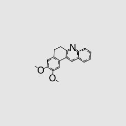 COc1cc2c(cc1OC)-c1cc3ccccc3nc1CC2